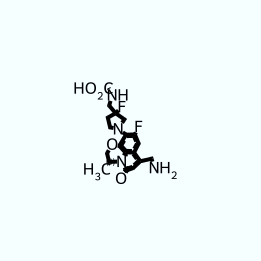 C[C@H]1COc2c(N3CCC(F)(CNC(=O)O)C3)c(F)cc3c(CN)cc(=O)n1c23